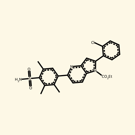 CCOC(=O)n1c(-c2ccccc2Cl)cc2nc(-c3cc(C)c(S(N)(=O)=O)c(C)c3C)ccc21